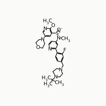 COc1ncc(N2CCOCC2)cc1[S+]([O-])N(C)c1ccnc(-c2ccc(CN3CCN(C(C)(C)C)CC3)cc2F)c1